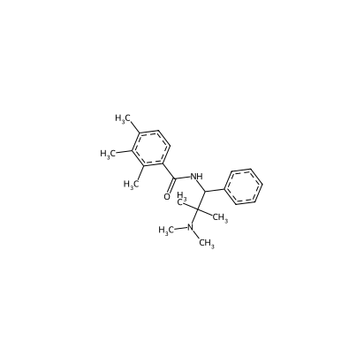 Cc1ccc(C(=O)NC(c2ccccc2)C(C)(C)N(C)C)c(C)c1C